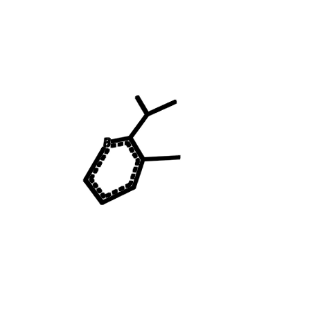 Cc1cccbc1C(C)C